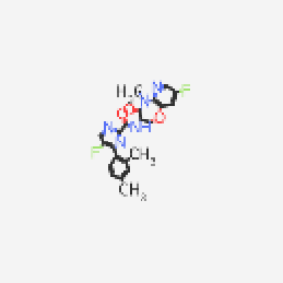 Cc1ccc(-c2nc(C(=O)N[C@H]3COc4cc(F)cnc4N(C)C3=O)ncc2F)c(C)c1